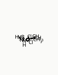 CS/C(=N\C#N)Nc1cc(Cl)c(C#CC(C)(C)C)c(Cl)c1